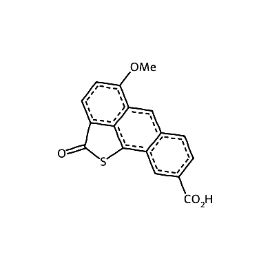 COc1ccc2c3c(c4cc(C(=O)O)ccc4cc13)SC2=O